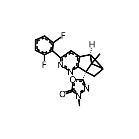 Cn1nc([C@]23CC4[C@H](c5cc(-c6c(F)cccc6F)nnc52)C43C)oc1=O